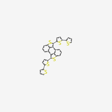 c1csc(-c2ccc(-c3sc4cccc5c6c(-c7ccc(-c8cccs8)s7)sc7cccc(c3c45)c76)s2)c1